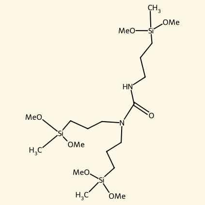 CO[Si](C)(CCCNC(=O)N(CCC[Si](C)(OC)OC)CCC[Si](C)(OC)OC)OC